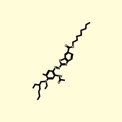 CCCCCCCCOC(=O)c1ccc2nc(N=Nc3cc(C)c(N(CC)CC(CC)CCCC)cc3NC(C)=O)sc2c1